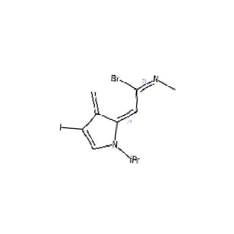 C=c1c(I)cn(C(C)C)/c1=C/C(Br)=N\C